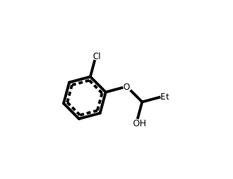 CCC(O)Oc1ccccc1Cl